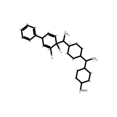 CCCCCC1CCC(C(C)C2CCC(C(C)C3(F)C=CC(c4ccccc4)C=C3F)CC2)CC1